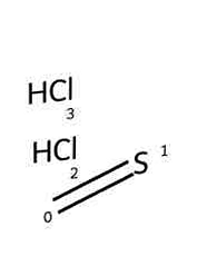 C=S.Cl.Cl